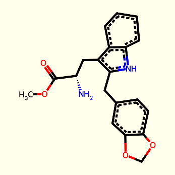 COC(=O)[C@@H](N)Cc1c(Cc2ccc3c(c2)OCO3)[nH]c2ccccc12